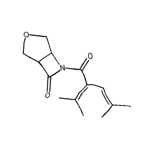 CC(C)=CC(C(=O)N1C(=O)C2COCC21)=C(C)C